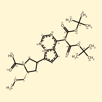 COC[C@H]1CC(c2ccc3c(N(C(=O)OC(C)(C)C)C(=O)OC(C)(C)C)ncnn23)CN1C(=O)O